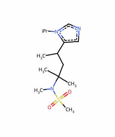 CC(CC(C)(C)N(C)S(C)(=O)=O)c1cncn1C(C)C